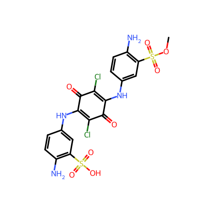 COS(=O)(=O)c1cc(NC2=C(Cl)C(=O)C(Nc3ccc(N)c(S(=O)(=O)O)c3)=C(Cl)C2=O)ccc1N